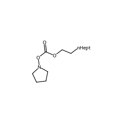 CCCCCCCCCOC(=O)ON1CCCC1